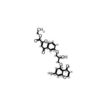 CCOC(=O)c1cc(=O)c2cc(OCC(O)COc3cc([18F])cc4occc(=O)c34)ccc2o1